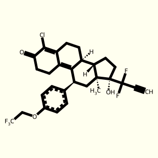 C#CC(F)(F)[C@]1(O)CC[C@H]2[C@@H]3CCC4=C(Cl)C(=O)CCC4=C3[C@H](c3ccc(OCC(F)(F)F)cc3)C[C@@]21C